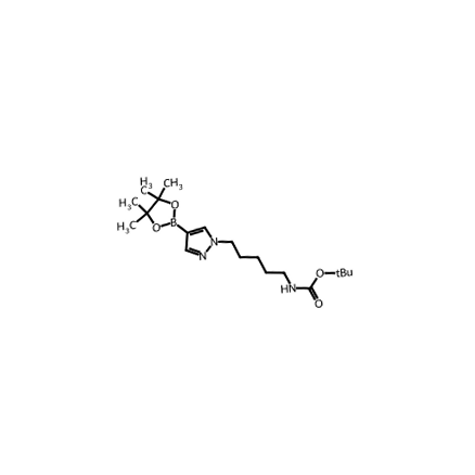 CC(C)(C)OC(=O)NCCCCCn1cc(B2OC(C)(C)C(C)(C)O2)cn1